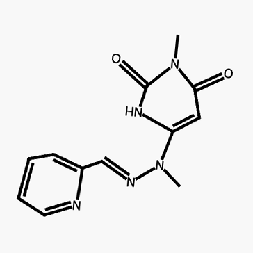 CN(/N=C/c1ccccn1)c1cc(=O)n(C)c(=O)[nH]1